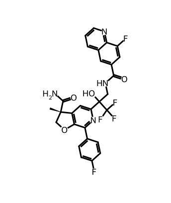 C[C@]1(C(N)=O)COc2c1cc(C(O)(CNC(=O)c1cc(F)c3ncccc3c1)C(F)(F)F)nc2-c1ccc(F)cc1